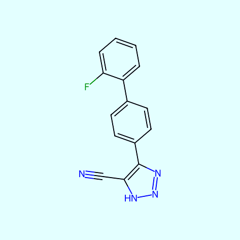 N#Cc1[nH]nnc1-c1ccc(-c2ccccc2F)cc1